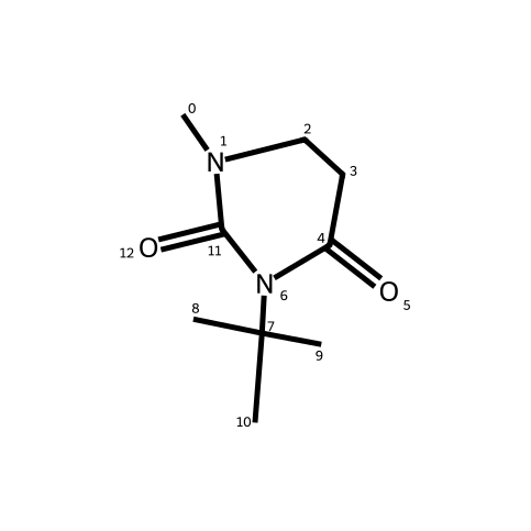 CN1CCC(=O)N(C(C)(C)C)C1=O